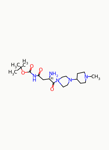 CN1CCC(N2CCN(C(=O)[C@H](N)CC(=O)NC(=O)OC(C)(C)C)CC2)CC1